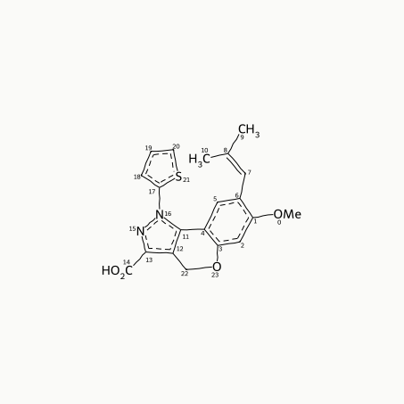 COc1cc2c(cc1C=C(C)C)-c1c(c(C(=O)O)nn1-c1cccs1)CO2